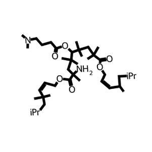 CC(C)CC(C)/C=C\COC(=O)C(C)(C)CC(C)(C)C(OC(=O)CCCN(C)C)C(C)(C)CC(C)(N)C(=O)OC/C=C\C(C)(C)CC(C)C